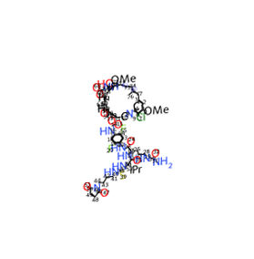 COc1cc2cc(c1Cl)N(C)CC[C@H](OC(=O)Nc1cc(F)c(NC(=O)[C@H](CCCNC(N)=O)NC(=O)[C@@H](NC(=S)NCCCCN3C(=O)C=CC3=O)C(C)C)cc1F)[C@]1(C)O[C@H]1[C@H](C)[C@@H]1C[C@@](O)(NC(=O)O1)[C@H](OC)/C=C/C=C(\C)C2